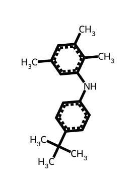 Cc1cc(C)c(C)c(Nc2ccc(C(C)(C)C)cc2)c1